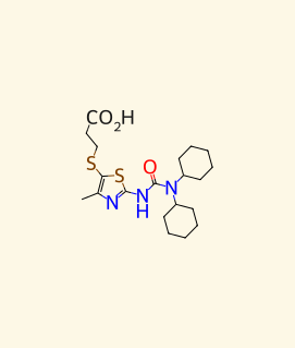 Cc1nc(NC(=O)N(C2CCCCC2)C2CCCCC2)sc1SCCC(=O)O